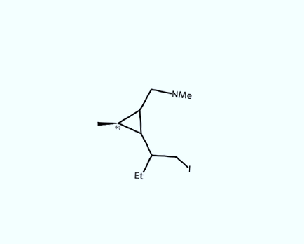 CCC(CI)C1C(CNC)[C@@H]1C